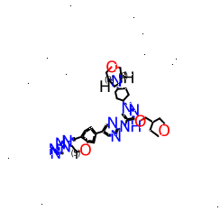 C[C@@H](Cn1cnnn1)Oc1cc(-c2cnc(Nc3cn(C4CCC(N5[C@@H]6CC[C@H]5COC6)CC4)nc3OCC3CCOCC3)nc2)ccc1C#N